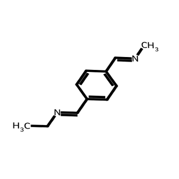 CC/N=C/c1ccc(/C=N/C)cc1